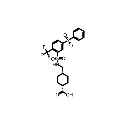 O=C(O)[C@H]1CC[C@H](CNS(=O)(=O)c2cc(S(=O)(=O)c3ccccc3)ccc2C(F)(F)F)CC1